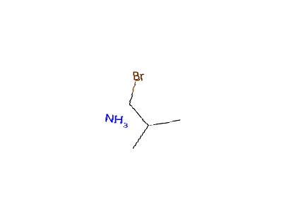 CC(C)CBr.N